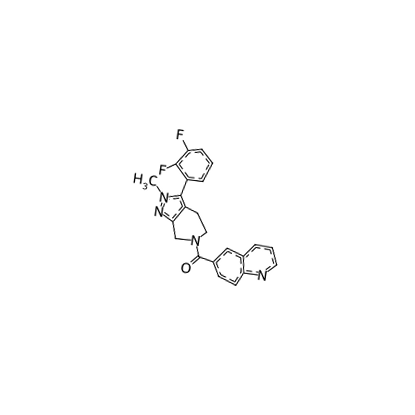 Cn1nc2c(c1-c1cccc(F)c1F)CCN(C(=O)c1ccc3ncccc3c1)C2